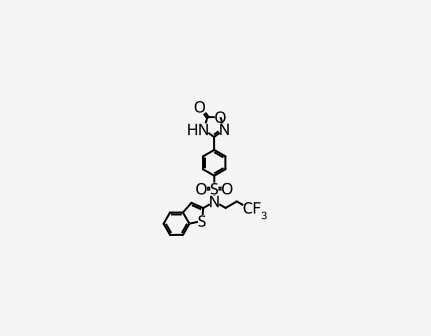 O=c1[nH]c(-c2ccc(S(=O)(=O)N(CCC(F)(F)F)c3cc4ccccc4s3)cc2)no1